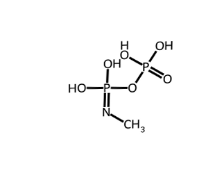 CN=P(O)(O)OP(=O)(O)O